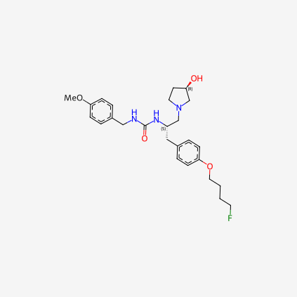 COc1ccc(CNC(=O)N[C@@H](Cc2ccc(OCCCCF)cc2)CN2CC[C@@H](O)C2)cc1